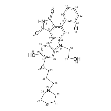 O=C1NC(=O)c2c1c(-c1ccccc1Cl)cc1c2c2cc(O)c(OCCCN3CCCCC3)cc2n1CCO